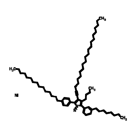 CCCCCCCCCCCCCCCCCCCCC#CC1=C(c2ccc(CCCCCCCCCCCCCCC)cc2)[N+](=[N-])C(c2cccc(CCCCCCCC)c2)=C1CCCC.[Ni]